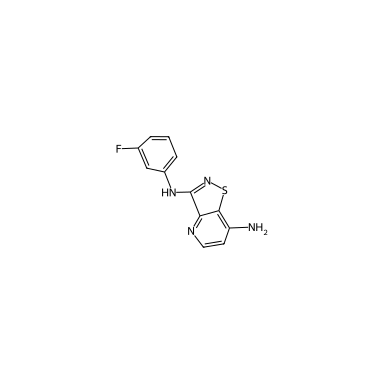 Nc1ccnc2c(Nc3cccc(F)c3)nsc12